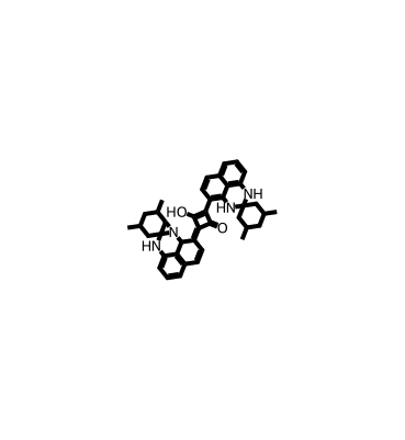 CC1CC(C)CC2(C1)Nc1cccc3ccc(C4=C(O)/C(=C5/C=Cc6cccc7c6C5N5C6C(C)CC(C)CC65N7)C4=O)c(c13)N2